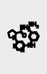 NCc1cccc(Nc2cc(N3CCCC3C(N)=O)ncn2)c1